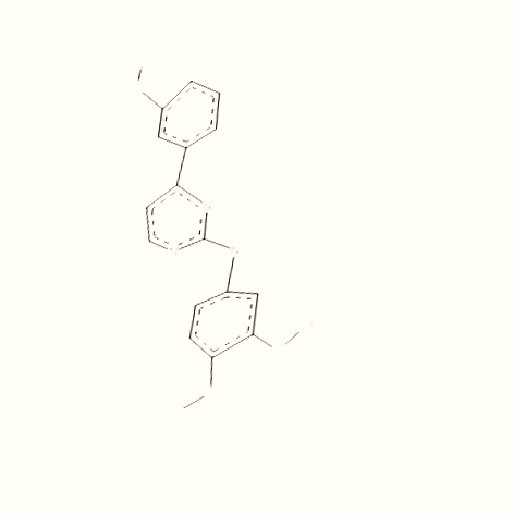 COc1cccc(-c2ccnc(Nc3ccc(OC)c(OC)c3)n2)c1